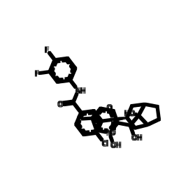 O=C(Nc1ccc(F)c(F)c1)c1ccc(Cl)c(S(=O)(=O)[C@H]2CC3CCC(C2)[C@]3(O)C(O)c2ccc(F)c[n+]2O)c1